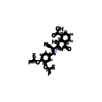 N#C/C(=C\c1ccc(OC(F)F)c(OC(F)F)c1)c1nc(=O)c2cccc(C(=O)O)c2[nH]1